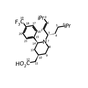 CC(C)C=C[C@H](CCC(C)C)N1CC[C@@H](CC(=O)O)C[C@H]1c1ccc(C(F)(F)F)cc1